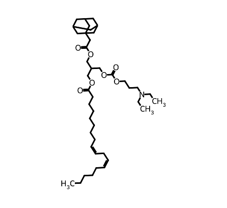 CCCCC/C=C\C/C=C\CCCCCCCC(=O)OCC(COC(=O)CC12CC3CC(CC(C3)C1)C2)COC(=O)OCCCN(CC)CC